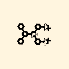 CC1(C)COC(c2cccc(-c3cc(-c4cc(-c5ccccc5)cc(-c5ccccc5)c4)nc(-c4cccc(C5=NC(C)(C)CO5)c4)n3)c2)=N1